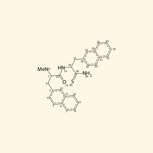 CNC(Cc1ccc2ccccc2c1)C(=O)NC(Cc1ccc2ccccc2c1)C(N)=S